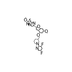 COc1cc(OCC2CCCN(c3ncc(F)cc3F)C2)c2cc(-c3cn4nc(OC)sc4n3)oc2c1